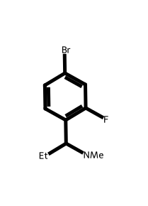 CCC(NC)c1ccc(Br)cc1F